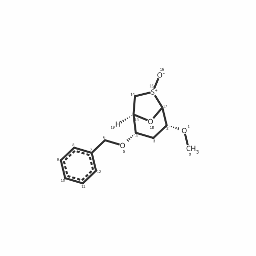 CO[C@@H]1C[C@H](OCc2ccccc2)[C@H]2C[S+]([O-])C1O2